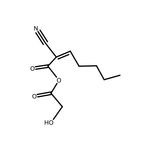 CCCCC=C(C#N)C(=O)OC(=O)CO